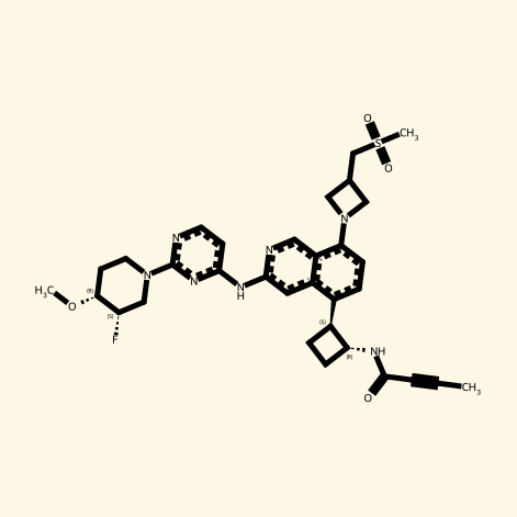 CC#CC(=O)N[C@@H]1CC[C@H]1c1ccc(N2CC(CS(C)(=O)=O)C2)c2cnc(Nc3ccnc(N4CC[C@@H](OC)[C@@H](F)C4)n3)cc12